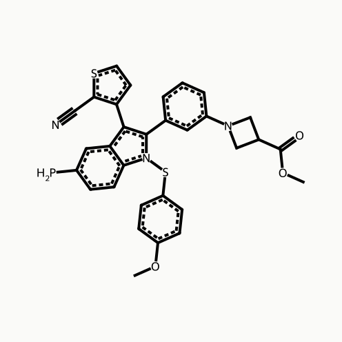 COC(=O)C1CN(c2cccc(-c3c(-c4ccsc4C#N)c4cc(P)ccc4n3Sc3ccc(OC)cc3)c2)C1